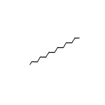 O=CCCCCCCCCCCCBr